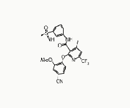 COc1cc(C#N)ccc1Oc1nc(C(F)(F)F)cc(C)c1C(=O)Nc1cccc([S@](C)(=N)=O)c1